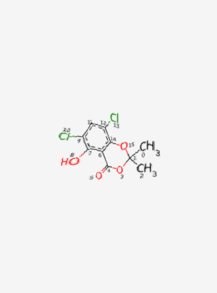 CC1(C)OC(=O)c2c(O)c(Cl)cc(Cl)c2O1